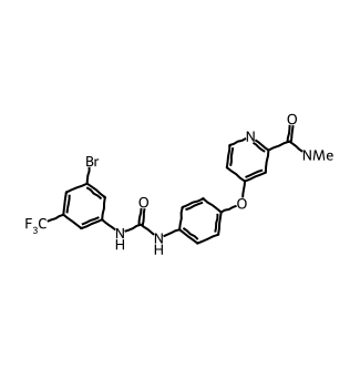 CNC(=O)c1cc(Oc2ccc(NC(=O)Nc3cc(Br)cc(C(F)(F)F)c3)cc2)ccn1